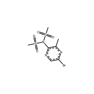 Cc1nc(Br)cnc1N(S(C)(=O)=O)S(C)(=O)=O